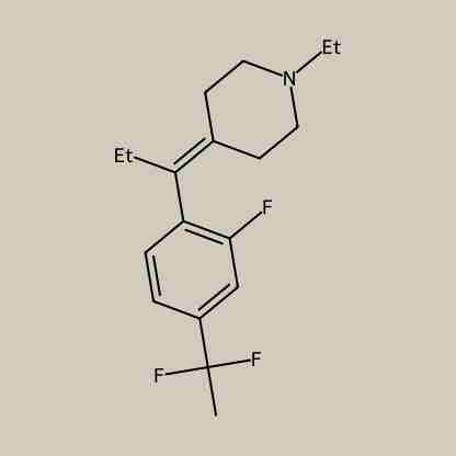 CCC(=C1CCN(CC)CC1)c1ccc(C(C)(F)F)cc1F